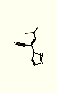 CC(C)/C=C(\C#N)n1ccnn1